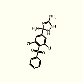 NC1=NC(N)(c2cc(Cl)c(S(=O)(=O)c3ccccc3)c(Cl)c2)NN1